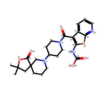 CC1(C)CC2(CCCN(C3CCN(C(=O)c4c(NC(=O)O)sc5ncccc45)CC3)C2)C(=O)O1